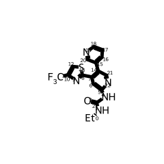 CCNC(=O)Nc1cc(-c2nc(C(F)(F)F)cs2)c(-c2cccnc2)cn1